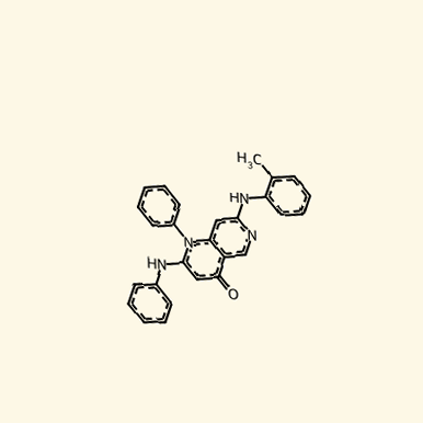 Cc1ccccc1Nc1cc2c(cn1)c(=O)cc(Nc1ccccc1)n2-c1ccccc1